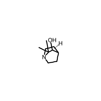 CC1(C)[C@@H](O)C2CCN1CC2